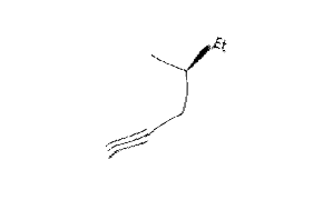 C#CC[C@@H](C)CC